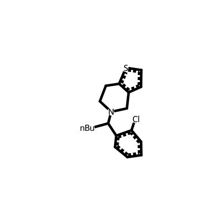 CCCCC(c1ccccc1Cl)N1CCc2sccc2C1